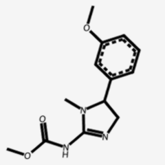 COC(=O)NC1=NCC(c2cccc(OC)c2)N1C